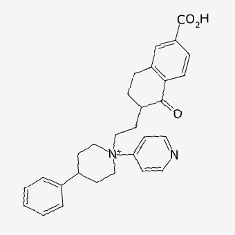 O=C(O)c1ccc2c(c1)CCC(CC[N+]1(c3ccncc3)CCC(c3ccccc3)CC1)C2=O